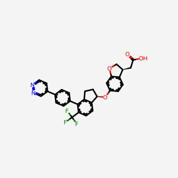 O=C(O)C[C@@H]1COc2cc(O[C@@H]3CCc4c3ccc(C(F)(F)F)c4-c3ccc(-c4ccnnc4)cc3)ccc21